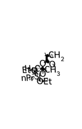 C=CC(=O)OC(C)(C)O[Si](CCC)(OCC)OCC